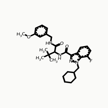 COc1cccc(CNC(=O)C(NC(=O)c2nn(CC3CCCCC3)c3c(F)cccc23)C(C)(C)C)c1